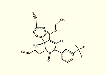 CCOC(=O)C1=C(C)N(c2cccc(C(F)(F)F)c2)C(=O)N(CCC=O)[C@]1(C)c1ccc(C#N)cc1